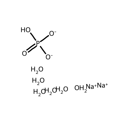 O.O.O.O.O.O.O=P([O-])([O-])O.[Na+].[Na+]